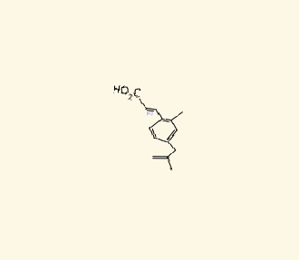 C=C(C)Cc1ccc(/C=C/C(=O)O)c(C)c1